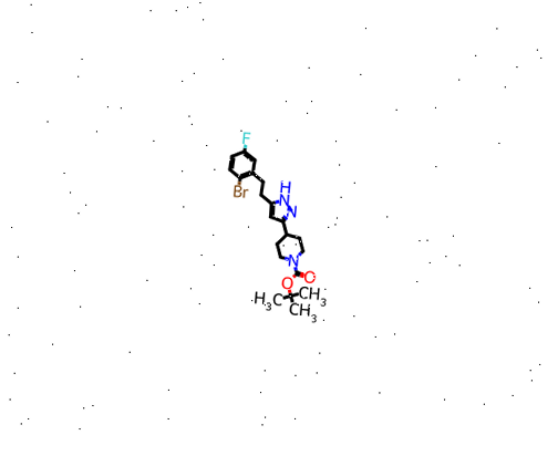 CC(C)(C)OC(=O)N1CCC(c2cc(CCc3cc(F)ccc3Br)[nH]n2)CC1